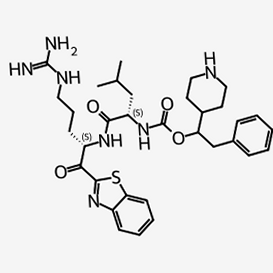 CC(C)C[C@H](NC(=O)OC(Cc1ccccc1)C1CCNCC1)C(=O)N[C@@H](CCCNC(=N)N)C(=O)c1nc2ccccc2s1